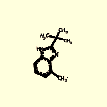 [CH2]c1cccc2[nH]c(C(C)(C)C)nc12